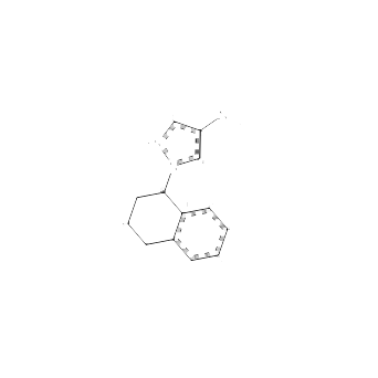 Cl.Nc1cnn(C2CCCc3ccccc32)c1